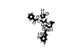 O=C(OCC(=O)C(C[C@@H]1CCNC1=O)NC(=O)C(CC1CC1)NC(=O)c1cc2cc(F)cc(F)c2[nH]1)C(=O)c1ccccc1